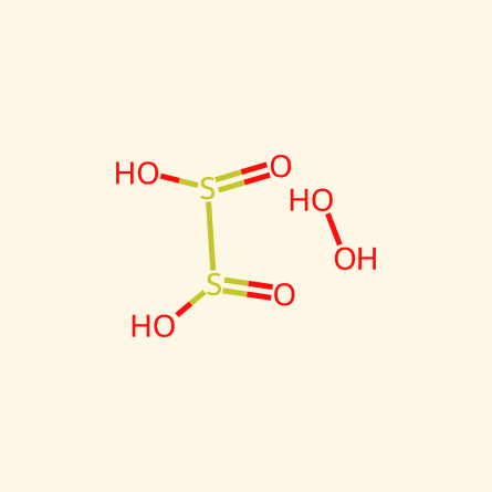 O=S(O)S(=O)O.OO